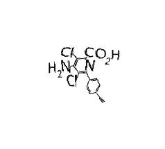 C#Cc1ccc(-c2nc(C(=O)O)c(Cl)c(N)c2Cl)cc1